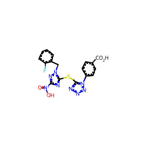 O=C(O)c1ccc(-n2nnnc2Sc2nc([N+](=O)O)nn2Cc2ccccc2F)cc1